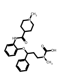 CN1CCC(C(=O)Nc2ccccc2OC(CCN(C)C(=O)O)c2ccccc2)CC1